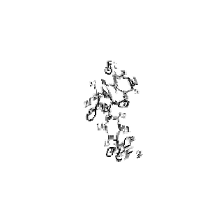 CCOc1cnccc1CN1C(=O)N(c2ccc(S(=O)(=O)C(F)(F)F)cc2)C(=O)C1(C)C